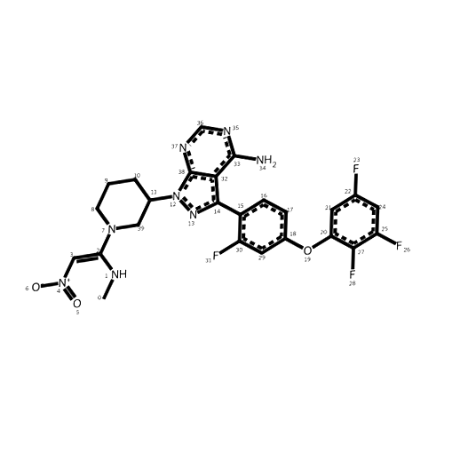 CNC(=C[N+](=O)[O-])N1CCCC(n2nc(-c3ccc(Oc4cc(F)cc(F)c4F)cc3F)c3c(N)ncnc32)C1